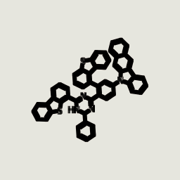 c1ccc(C2N=C(c3ccc(-n4c5ccccc5c5cc6ccccc6cc54)cc3-c3cccc4sc5ccccc5c34)N=C(c3cccc4c3sc3ccccc34)N2)cc1